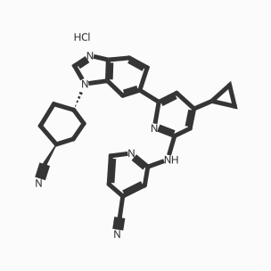 Cl.N#Cc1ccnc(Nc2cc(C3CC3)cc(-c3ccc4ncn([C@H]5CC[C@H](C#N)CC5)c4c3)n2)c1